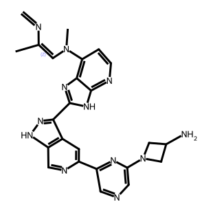 C=N/C(C)=C\N(C)c1ccnc2[nH]c(-c3n[nH]c4cnc(-c5cncc(N6CC(N)C6)n5)cc34)nc12